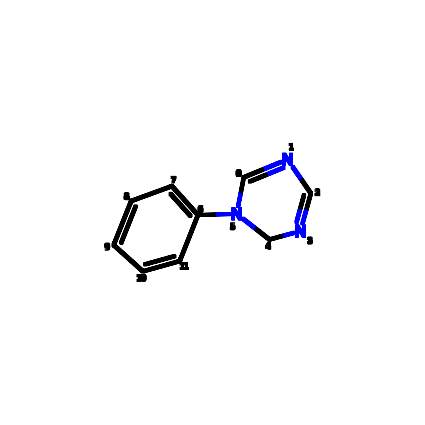 C1=NC=NCN1c1ccccc1